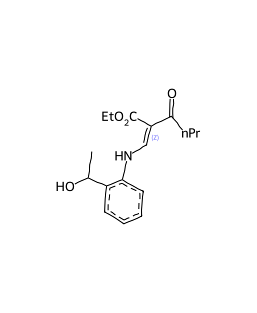 CCCC(=O)/C(=C/Nc1ccccc1C(C)O)C(=O)OCC